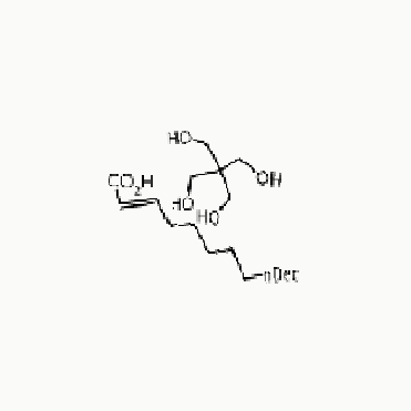 CCCCCCCCCCCCCCCC=CC(=O)O.OCC(CO)(CO)CO